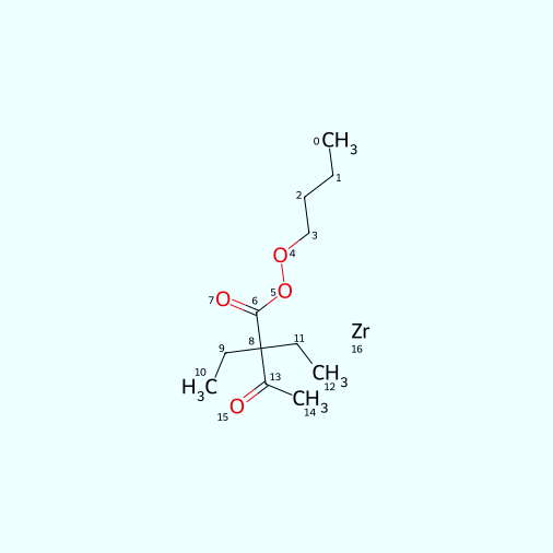 CCCCOOC(=O)C(CC)(CC)C(C)=O.[Zr]